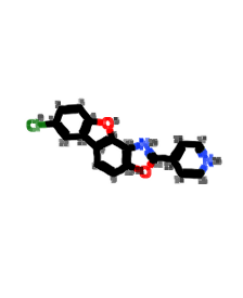 Clc1ccc2oc3c(ccc4oc(-c5ccncc5)nc43)c2c1